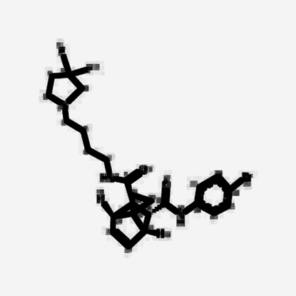 O=C(NCCCCN1CCC(F)(F)C1)[C@H]1[C@H](C(=O)Nc2ccc(Br)cc2)[C@@H]2C=C[C@H]1C21CC1